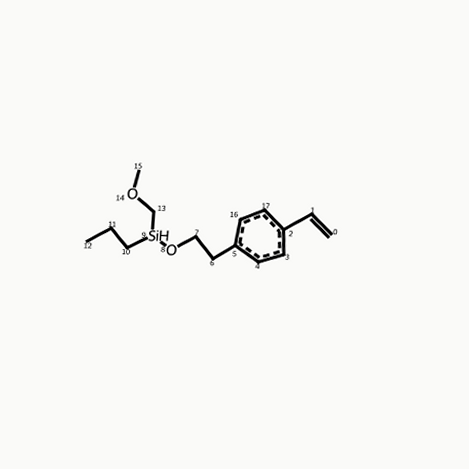 C=Cc1ccc(CCO[SiH](CCC)COC)cc1